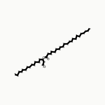 CCCCCCCCCCCCCCCCCCCCCC(=O)OC(CC=O)CCCCCCCCCCCCC